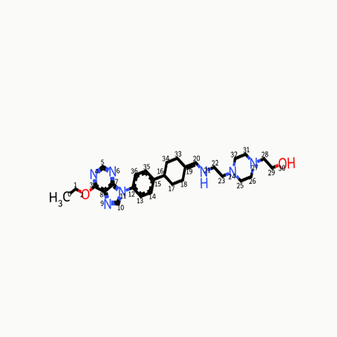 CCOc1ncnc2c1ncn2-c1ccc(C2CCC(=CNCCN3CCN(CCO)CC3)CC2)cc1